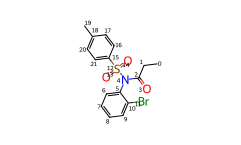 CCC(=O)N(c1ccccc1Br)S(=O)(=O)c1ccc(C)cc1